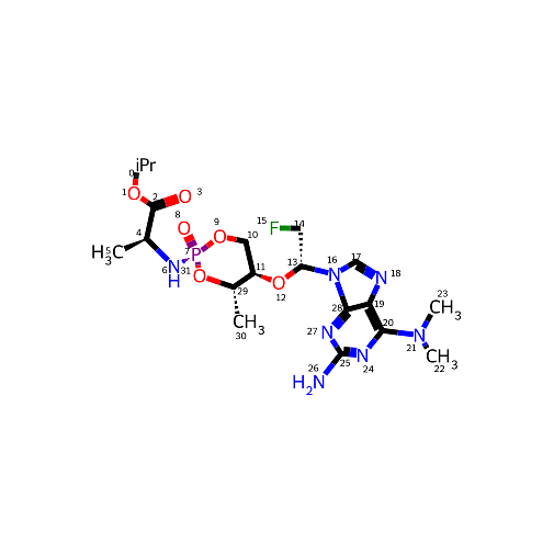 CC(C)OC(=O)[C@H](C)N[P@]1(=O)OC[C@@H](O[C@H](CF)n2cnc3c(N(C)C)nc(N)nc32)[C@H](C)O1